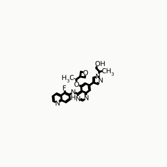 CC(CO)n1cc(-c2cc(O[C@H](C)C3COC3)c3c(Nc4ccc5ncccc5c4F)ncnc3c2)cn1